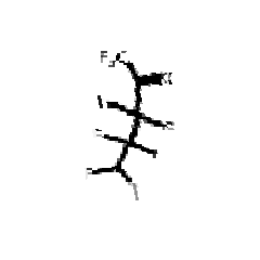 O=C(C(F)(F)F)C(F)(F)C(F)(F)C(F)F